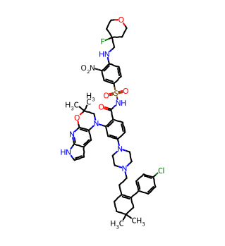 CC1(C)CCC(CCN2CCN(c3ccc(C(=O)NS(=O)(=O)c4ccc(NCC5(F)CCOCC5)c([N+](=O)[O-])c4)c(N4CC(C)(C)Oc5nc6[nH]ccc6cc54)c3)CC2)=C(c2ccc(Cl)cc2)C1